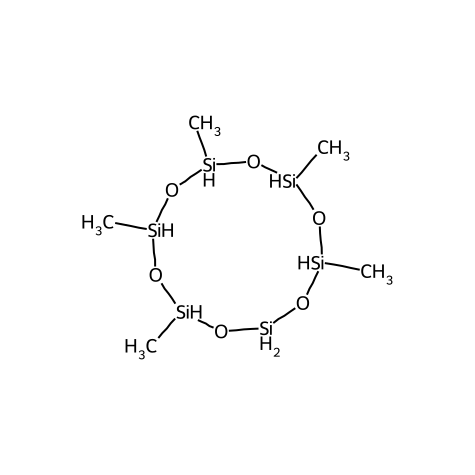 C[SiH]1O[SiH2]O[SiH](C)O[SiH](C)O[SiH](C)O[SiH](C)O1